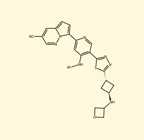 CC(C)Nc1cc(-c2ccc3cc(C#N)cnn23)ncc1-c1nnc([C@H]2C[C@H](NC3COC3)C2)s1